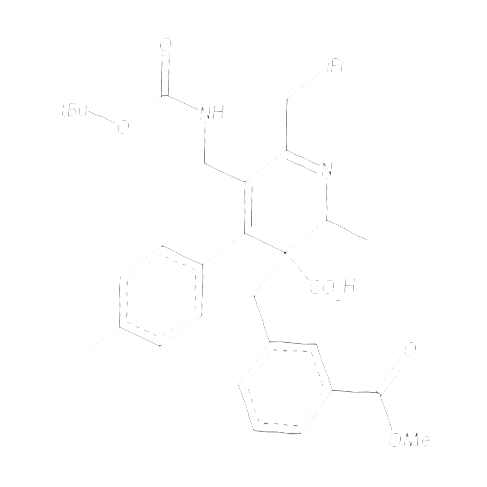 COC(=O)c1cccc(CC2(C(=O)O)C(c3ccc(C)cc3)=C(CNC(=O)OC(C)(C)C)C(CC(C)C)=NC2C)c1